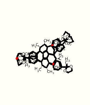 C[C@@H]1[C@H](C)C2(c3ccc(C4(C)OCCO4)cc3)C3=C4C5=C6C3C(c3ccc(C7(C)OCCO7)cc3)([C@H](C)[C@H](C)C6(c3ccc(C6(C)OCCO6)cc3)[C@H](C)[C@H](C)C5(c3ccc(C5(C)OCCO5)cc3)[C@H](C)[C@H](C)C41c1ccc(C3(C)OCCO3)cc1)[C@@H](C)[C@H]2C